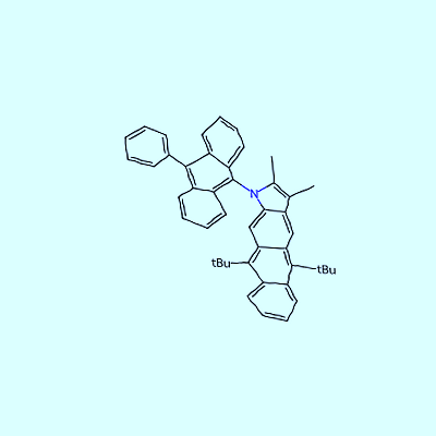 Cc1c(C)n(-c2c3ccccc3c(-c3ccccc3)c3ccccc23)c2cc3c(C(C)(C)C)c4ccccc4c(C(C)(C)C)c3cc12